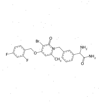 Cc1cc(OCc2ccc(F)cc2F)c(Br)c(=O)n1Cc1cccc(C(N)C(N)=O)c1